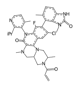 C=CC(=O)N1CC2CN(C)c3c(c4cc(Cl)c(-c5c(C)ccc6[nH]c(=O)n(C)c56)c(F)c4n(-c4c(C)ccnc4C(C)C)c3=O)N2CC1C